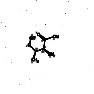 C[C@@H](OO)[C@H](N)C(=O)O